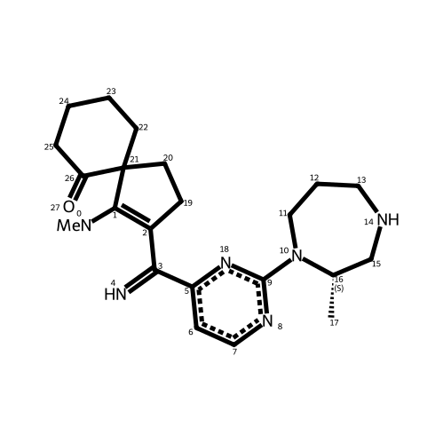 CNC1=C(C(=N)c2ccnc(N3CCCNC[C@@H]3C)n2)CCC12CCCCC2=O